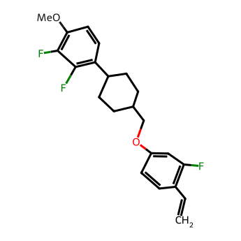 C=Cc1ccc(OCC2CCC(c3ccc(OC)c(F)c3F)CC2)cc1F